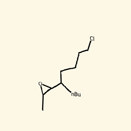 CCCCC(CCCCCl)C1OC1C